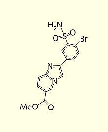 COC(=O)c1ccc2nc(-c3ccc(Br)c(S(N)(=O)=O)c3)cn2c1